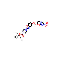 CC(C)(C)OC(=O)N1CCN(c2nc3cc(OC[C@@H]4CCn5cc([N+](=O)[O-])nc5O4)ccc3o2)CC1